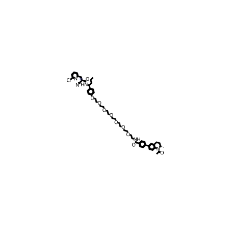 CCCC(NC(=O)/C(C#N)=C/c1cccc(Cl)n1)c1ccc(OCCOCCOCCOCCOCCOCCOCCNC(=O)c2ccc(-c3ccc4c(c3)CC[C@H](C)N4C(C)=O)cc2)cc1